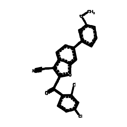 COc1cccc(-c2ccc3c(C#N)c(C(=O)c4ccc(Cl)cc4Cl)oc3c2)c1